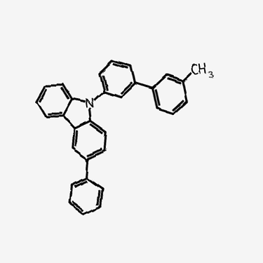 Cc1cccc(-c2cccc(-n3c4ccccc4c4cc(-c5ccccc5)ccc43)c2)c1